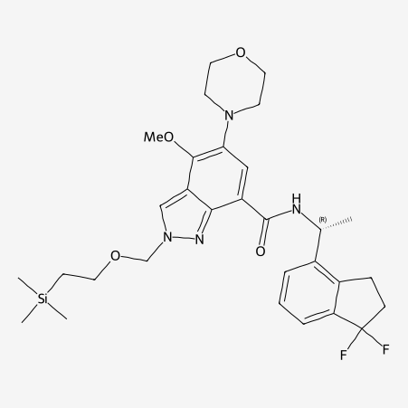 COc1c(N2CCOCC2)cc(C(=O)N[C@H](C)c2cccc3c2CCC3(F)F)c2nn(COCC[Si](C)(C)C)cc12